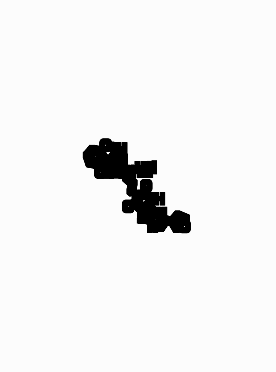 COc1cccc2c1[C@@H]1CN(CCCCn3c(=O)[nH]c4c(sc5ncc(-c6ccoc6)nc54)c3=O)C[C@@H]1CO2.Cl.Cl